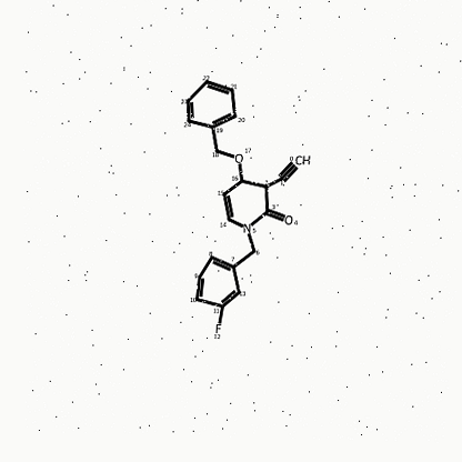 C#CC1C(=O)N(Cc2cccc(F)c2)C=CC1OCc1ccccc1